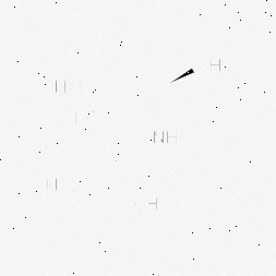 C[C@H](CO)NC(C)(C)C